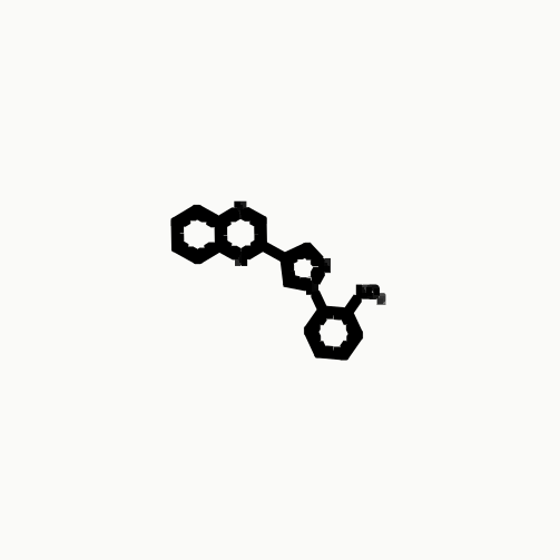 O=[N+]([O-])c1ccccc1-n1cc(-c2cnc3ccccc3n2)cn1